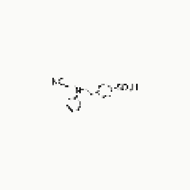 N#CCCN(CCc1ccc(S(=O)(=O)O)cc1)c1ccccc1